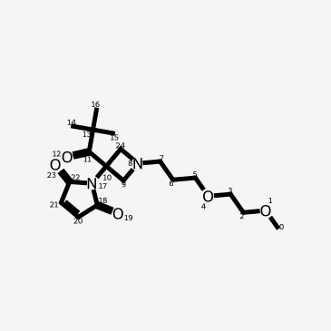 COCCOCCCN1CC(C(=O)C(C)(C)C)(N2C(=O)C=CC2=O)C1